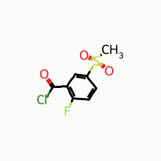 CS(=O)(=O)c1ccc(F)c(C(=O)Cl)c1